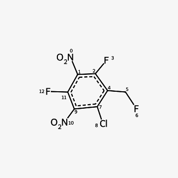 O=[N+]([O-])c1c(F)c(CF)c(Cl)c([N+](=O)[O-])c1F